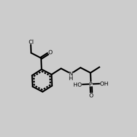 CC(CNCc1ccccc1C(=O)CCl)P(=O)(O)O